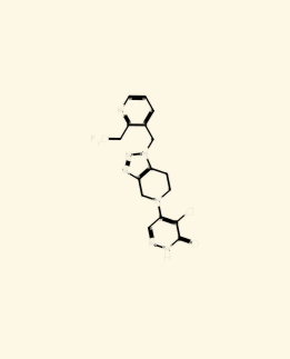 O=c1[nH]ncc(N2CCc3c(nnn3Cc3cccnc3CC(F)(F)F)C2)c1Cl